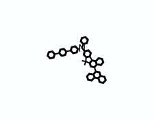 CC1(C)c2cc(N(c3ccccc3)c3ccc(-c4ccc(-c5ccccc5)cc4)cc3)ccc2-c2c1cc(-c1cc3ccccc3c3ccccc13)c1ccccc21